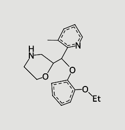 CCOc1ccccc1OC(c1ncccc1C)C1CNCCO1